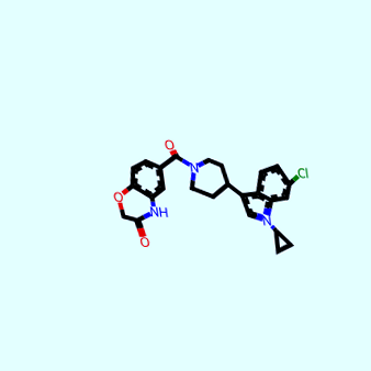 O=C1COc2ccc(C(=O)N3CCC(c4cn(C5CC5)c5cc(Cl)ccc45)CC3)cc2N1